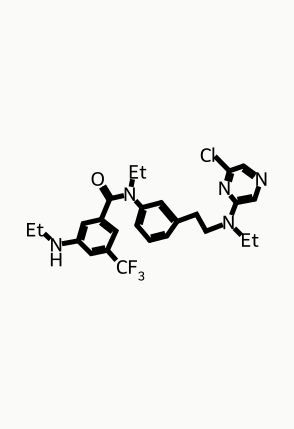 CCNc1cc(C(=O)N(CC)c2cccc(CCN(CC)c3cncc(Cl)n3)c2)cc(C(F)(F)F)c1